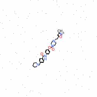 Cc1cc(CCN2CCN(C(=O)Oc3ccc(NC(=O)c4ccc(CN5CCCCC5)cc4)cc3)CC2)on1